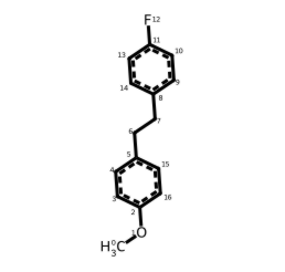 COc1ccc(CCc2ccc(F)cc2)cc1